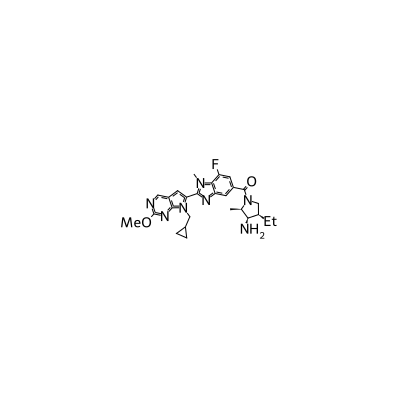 CC[C@@H]1CN(C(=O)c2cc(F)c3c(c2)nc(-c2cc4cnc(OC)nc4n2CC2CC2)n3C)[C@H](C)[C@@H]1N